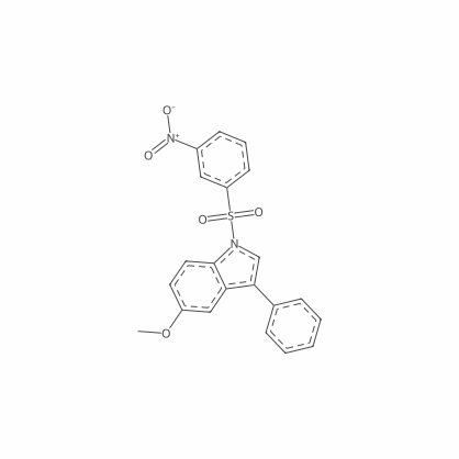 COc1ccc2c(c1)c(-c1ccccc1)cn2S(=O)(=O)c1cccc([N+](=O)[O-])c1